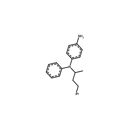 CC(C)CCC(C)N(c1ccccc1)c1ccc(N)cc1